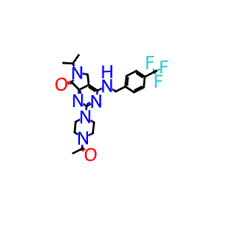 CC(=O)N1CCN(c2nc(NCc3ccc(C(F)(F)F)cc3)c3c(n2)C(=O)N(C(C)C)C3)CC1